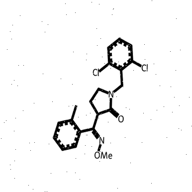 CO/N=C(\c1ccccc1C)C1CCN(Cc2c(Cl)cccc2Cl)C1=O